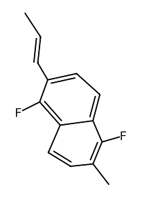 C/C=C/c1ccc2c(F)c(C)ccc2c1F